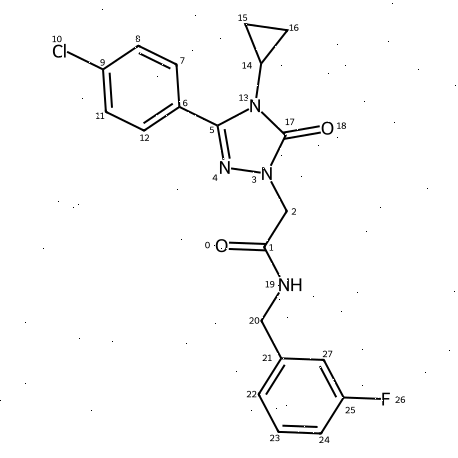 O=C(Cn1nc(-c2ccc(Cl)cc2)n(C2CC2)c1=O)NCc1cccc(F)c1